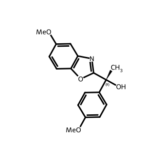 COc1ccc([C@@](C)(O)c2nc3cc(OC)ccc3o2)cc1